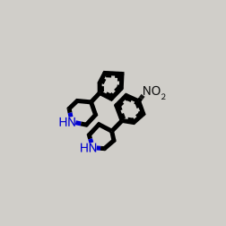 O=[N+]([O-])c1ccc(C2CCNCC2)cc1.c1ccc(C2CCNCC2)cc1